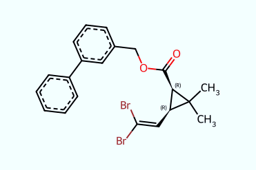 CC1(C)[C@H](C(=O)OCc2cccc(-c3ccccc3)c2)[C@@H]1C=C(Br)Br